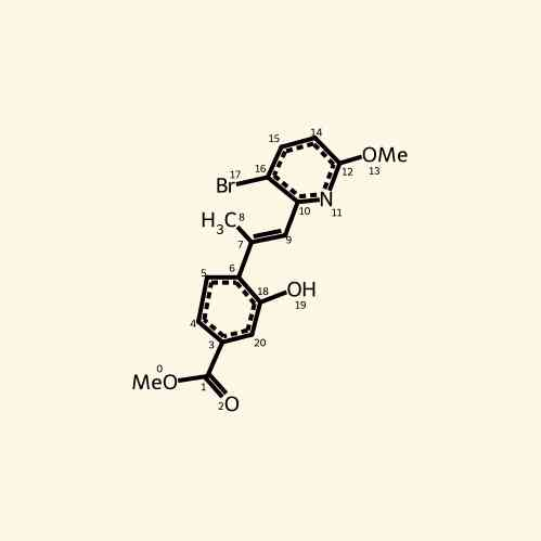 COC(=O)c1ccc(/C(C)=C/c2nc(OC)ccc2Br)c(O)c1